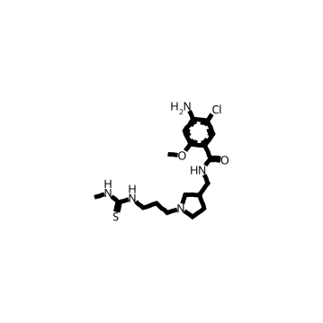 CNC(=S)NCCCN1CCC(CNC(=O)c2cc(Cl)c(N)cc2OC)C1